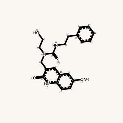 COc1ccc2[nH]c(=O)c(CN(CCO)C(=S)NCCc3ccccc3)cc2c1